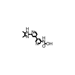 Cc1nc(-c2cc(-c3cncc(NC(=O)O)c3)ccn2)[nH]c1C